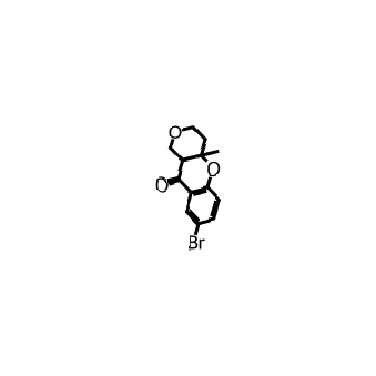 CC12CCOCC1C(=O)c1cc(Br)ccc1O2